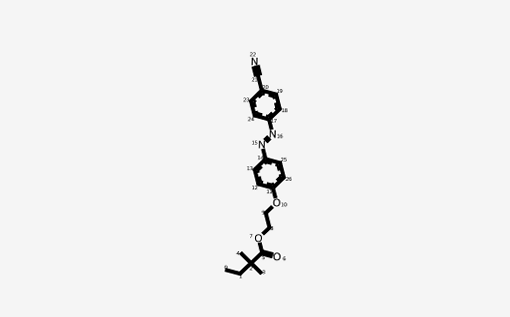 CCC(C)(C)C(=O)OCCOc1ccc(N=Nc2ccc(C#N)cc2)cc1